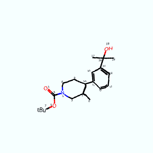 CC1CN(C(=O)OC(C)(C)C)CCC1c1cccc(C(C)(C)O)c1